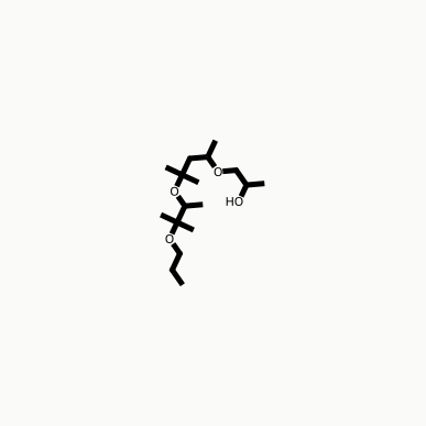 CCCOC(C)(C)C(C)OC(C)(C)CC(C)OCC(C)O